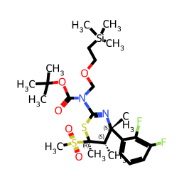 C[C@@H]1[C@@](C)(S(C)(=O)=O)SC(N(COCC[Si](C)(C)C)C(=O)OC(C)(C)C)=N[C@]1(C)c1cccc(F)c1F